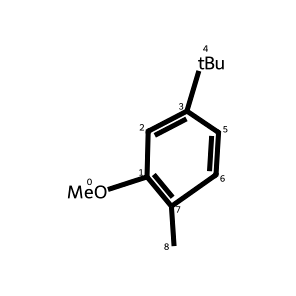 COc1cc(C(C)(C)C)ccc1C